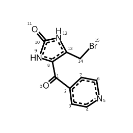 O=C(c1ccncc1)c1[nH]c(=O)[nH]c1CBr